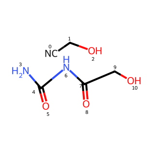 N#CCO.NC(=O)NC(=O)CO